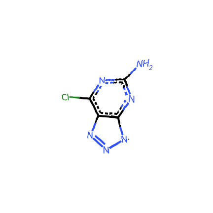 Nc1nc(Cl)c2c(n1)[N]N=N2